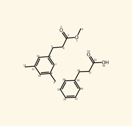 COC(=O)CCc1cc(C)cc(C)c1.O=C(O)CCc1ccccc1